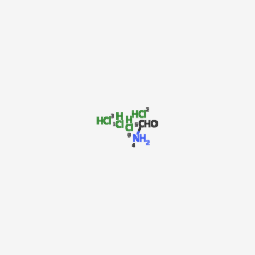 Cl.Cl.Cl.Cl.NC=O